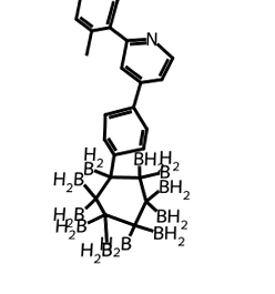 BC1(B)C(B)(B)C(B)(B)C(B)(c2ccc(-c3ccnc(-c4ccccc4C)c3)cc2)C(B)(B)C1(B)B